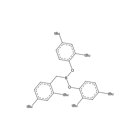 CC(C)(C)c1ccc(CB(Oc2ccc(C(C)(C)C)cc2C(C)(C)C)Oc2ccc(C(C)(C)C)cc2C(C)(C)C)c(C(C)(C)C)c1